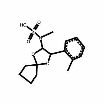 Cc1ccccc1C1OC2(CCCC2)OC1N(C)S(=O)(=O)O